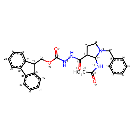 O=C(NNC(=O)C1CCN(Cc2ccccc2)C1NC(=O)C(=O)O)OCC1c2ccccc2-c2ccccc21